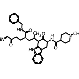 CC(C[C@@H](CCC(=O)C=N)C(=O)NCc1ccccc1)C1C(=O)[C@@H](NC(=O)C2CCN(C)CC2)Cc2c1[nH]c1ccccc21